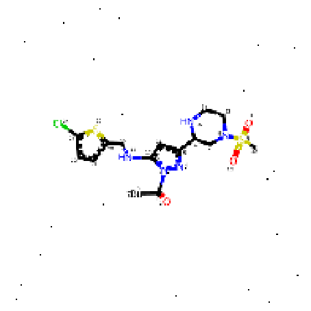 CC(C)(C)C(=O)n1nc(C2CN(S(C)(=O)=O)CCN2)cc1NCc1ccc(Cl)s1